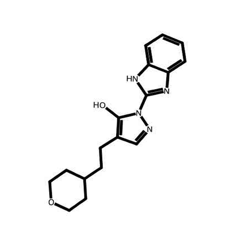 Oc1c(CCC2CCOCC2)cnn1-c1nc2ccccc2[nH]1